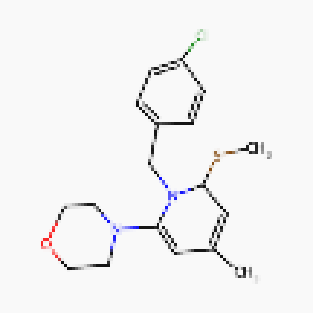 CSC1C=C(C)C=C(N2CCOCC2)N1Cc1ccc(Cl)cc1